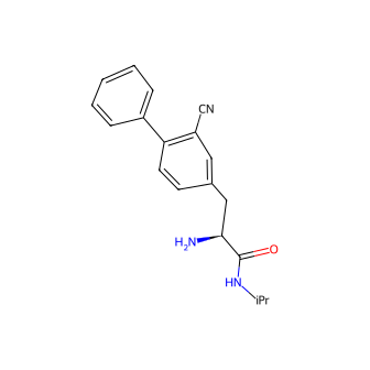 CC(C)NC(=O)[C@@H](N)Cc1ccc(-c2ccccc2)c(C#N)c1